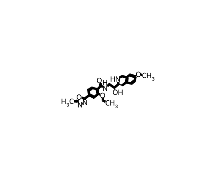 CCOc1cc(-c2nnc(C)o2)ccc1C(=O)NC[C@@H](O)[C@@H]1Cc2ccc(OC)cc2CN1